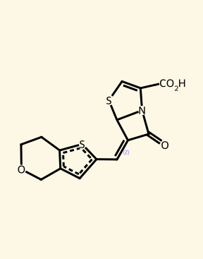 O=C(O)C1=CSC2/C(=C\c3cc4c(s3)CCOC4)C(=O)N12